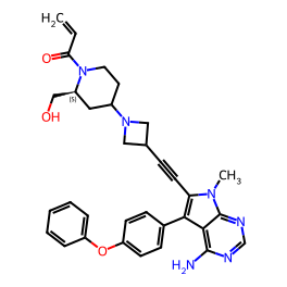 C=CC(=O)N1CCC(N2CC(C#Cc3c(-c4ccc(Oc5ccccc5)cc4)c4c(N)ncnc4n3C)C2)C[C@H]1CO